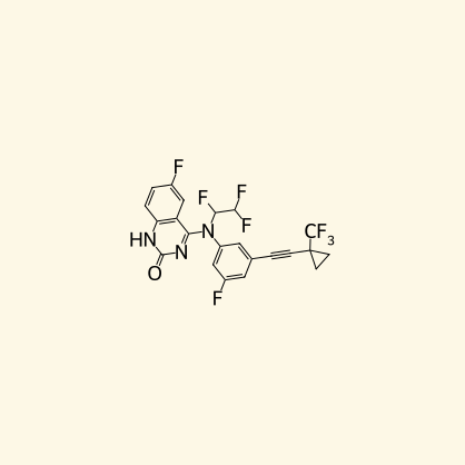 O=c1nc(N(c2cc(F)cc(C#CC3(C(F)(F)F)CC3)c2)C(F)C(F)F)c2cc(F)ccc2[nH]1